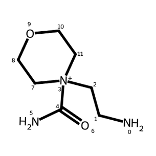 NCC[N+]1(C(N)=O)CCOCC1